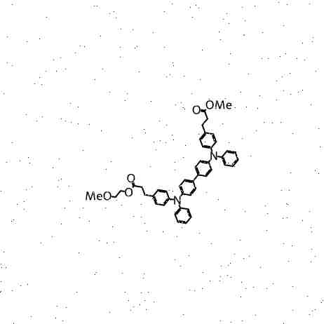 COCCOC(=O)CCc1ccc(N(c2ccccc2)c2ccc(-c3ccc(N(c4ccccc4)c4ccc(CCC(=O)OC)cc4)cc3)cc2)cc1